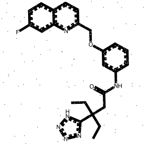 CCC(CC)(CC(=O)Nc1cccc(OCc2ccc3ccc(F)cc3n2)c1)c1nnn[nH]1